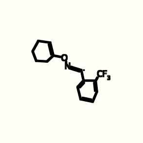 FC(F)(F)c1ccccc1[C]=NOC1=CCCCC1